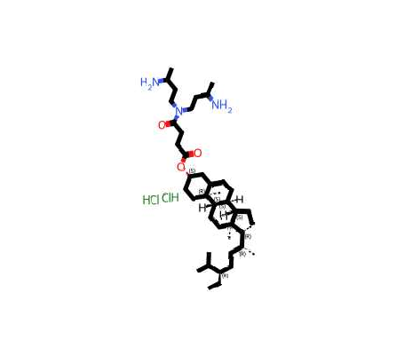 CC[C@H](CC[C@@H](C)[C@H]1CC[C@H]2[C@@H]3CC=C4C[C@@H](OC(=O)CCC(=O)N(CCC(C)N)CCC(C)N)CC[C@]4(C)[C@H]3CC[C@]12C)C(C)C.Cl.Cl